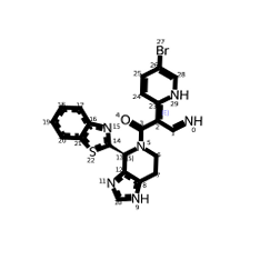 N=C/C(C(=O)N1CCc2[nH]cnc2[C@H]1c1nc2ccccc2s1)=C1/C=CC(Br)=CN1